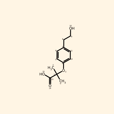 CC(C)(Oc1ccc(CCO)cc1)C(=O)O